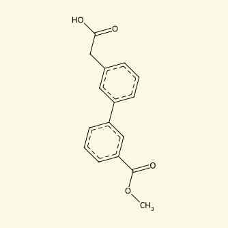 COC(=O)c1cccc(-c2cccc(CC(=O)O)c2)c1